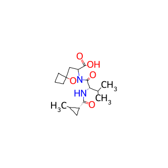 CC(C)[C@H](NC(=O)[C@@H]1CC1C)C(=O)N1OC2(CCC2)CC1C(=O)O